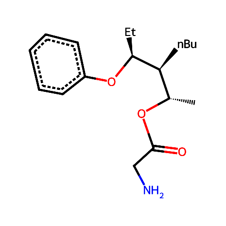 CCCC[C@@H]([C@H](C)OC(=O)CN)[C@H](CC)Oc1ccccc1